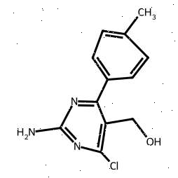 Cc1ccc(-c2nc(N)nc(Cl)c2CO)cc1